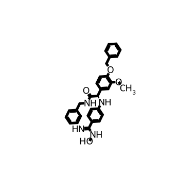 COc1cc([C@H](Nc2ccc(C(=N)NO)cc2)C(=O)NCc2ccccc2)ccc1OCc1ccccc1